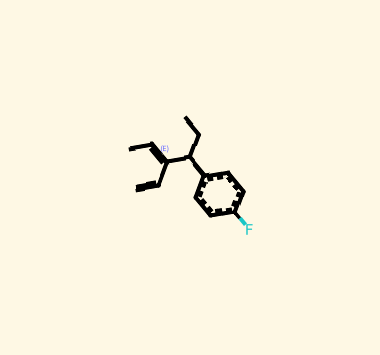 C=C/C(=C\C)C(CC)c1ccc(F)cc1